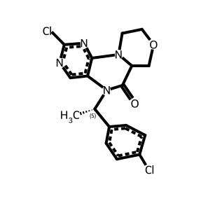 C[C@@H](c1ccc(Cl)cc1)N1C(=O)C2COCCN2c2nc(Cl)ncc21